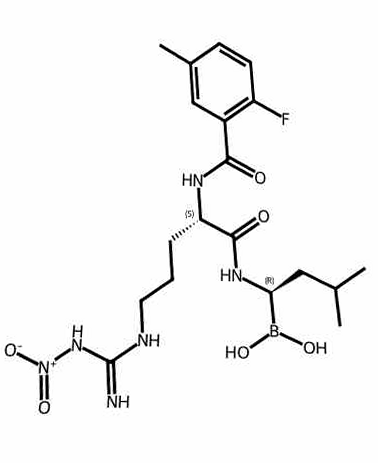 Cc1ccc(F)c(C(=O)N[C@@H](CCCNC(=N)N[N+](=O)[O-])C(=O)N[C@@H](CC(C)C)B(O)O)c1